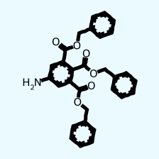 Nc1cc(C(=O)OCc2ccccc2)c(C(=O)OCc2ccccc2)c(C(=O)OCc2ccccc2)c1